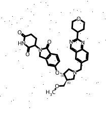 COC[C@@H]1CN(Cc2ccc3nc(C4CCOCC4)ncc3c2)C[C@H]1Oc1ccc2c(c1)CN(C1CCC(=O)NC1=O)C2=O